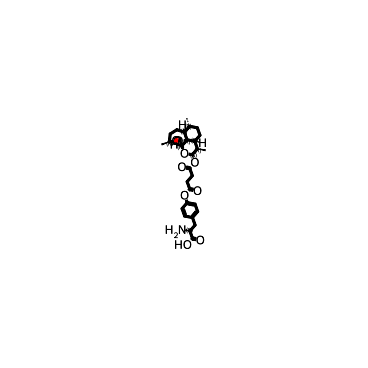 C[C@H]1[C@H](OC(=O)CCC(=O)Oc2ccc(C[C@H](N)C(=O)O)cc2)O[C@@H]2O[C@@]3(C)CC[C@H]4[C@H](C)CC[C@@H]1[C@@]24OO3